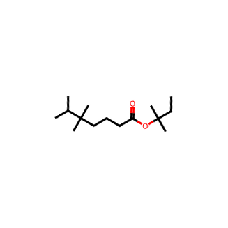 CCC(C)(C)OC(=O)CCCC(C)(C)C(C)C